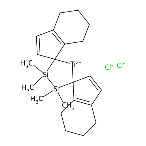 C[Si]1(C)[C]2(C=CC3=C2CCCC3)[Ti+2][C]2(C=CC3=C2CCCC3)[Si]1(C)C.[Cl-].[Cl-]